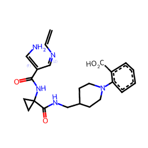 C=C/N=C\C(=C/N)C(=O)NC1(C(=O)NCC2CCN(c3ccccc3C(=O)O)CC2)CC1